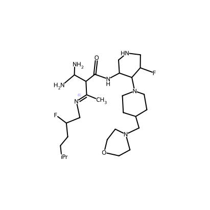 C/C(=N\CC(F)CCC(C)C)C(C(=O)NC1CNCC(F)C1N1CCC(CN2CCOCC2)CC1)C(N)N